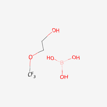 OB(O)O.OCCOC(F)(F)F